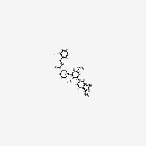 C[C@@H]1CC[C@H](C(=O)NCc2ccccc2F)CN1c1cc(-c2ccc3c(N)n[nH]c3c2)nc(N)n1